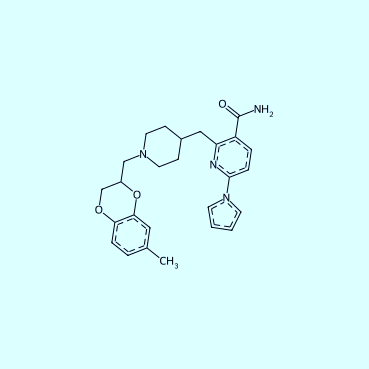 Cc1ccc2c(c1)OC(CN1CCC(Cc3nc(-n4cccc4)ccc3C(N)=O)CC1)CO2